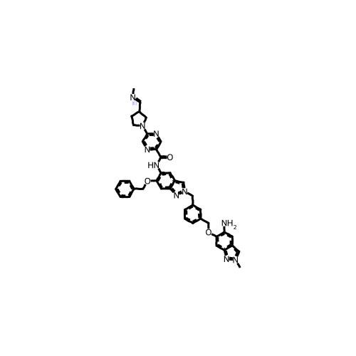 C/N=C/C1CCN(c2cnc(C(=O)Nc3cc4cn(Cc5cccc(COc6cc7nn(C)cc7cc6N)c5)nc4cc3OCc3ccccc3)cn2)C1